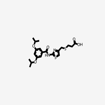 CC(C)Oc1cc(OC(C)C)cc(C(=O)Nc2nc(CSCCC(=O)O)cs2)c1